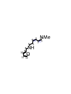 CN/C=C\C=C/CCNCc1ccco1